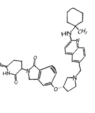 CC1(Nc2ccc3cc(CN4CC[C@H](Oc5ccc6c(c5)CN(C5CCC(=O)NC5=O)C6=O)C4)ccc3n2)CCCCC1